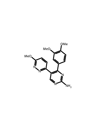 COc1ccc(-c2cnc(N)nc2-c2ccc(OC)c(OC)c2)nn1